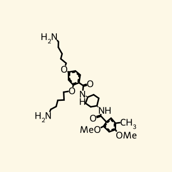 COc1cc(OC)c(C(=O)N[C@H]2CC[C@@H](NC(=O)c3ccc(OCCCCCN)cc3OCCCCCN)CC2)cc1C